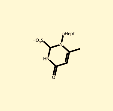 CCCCCCCN1C(C)=CC(=O)NC1S(=O)(=O)O